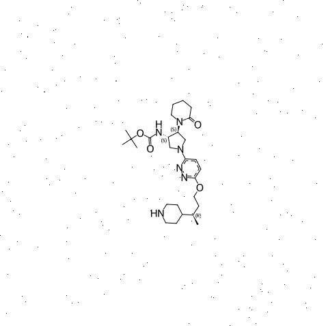 C[C@H](CCOc1ccc(N2C[C@H](NC(=O)OC(C)(C)C)[C@@H](N3CCCCC3=O)C2)nn1)C1CCNCC1